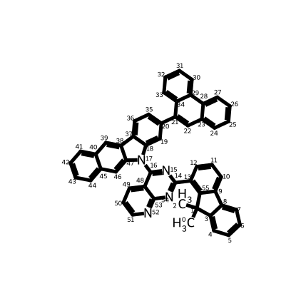 CC1(C)c2ccccc2-c2cccc(-c3nc(-n4c5cc(-c6cc7ccccc7c7ccccc67)ccc5c5cc6ccccc6cc54)c4cccnc4n3)c21